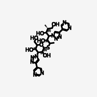 CC(S[C@@H]1OC(CO)[C@H](O)C(n2cc(-c3cncnc3)nn2)[C@@H]1O)[C@H](O)C(C(O)[C@H](C)CO)n1cc(-c2cncnc2)nn1